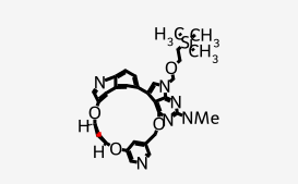 CNc1nc2c3c(cn(COCC[Si](C)(C)C)c3n1)-c1ccc3ncc(cc3c1)O[C@H]1C[C@@H](C1)Oc1cncc(c1)CO2